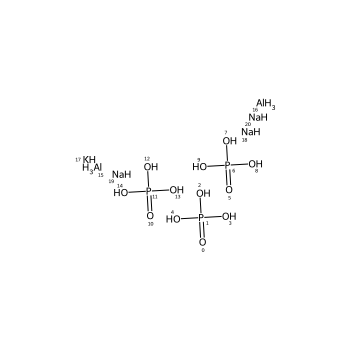 O=P(O)(O)O.O=P(O)(O)O.O=P(O)(O)O.[AlH3].[AlH3].[KH].[NaH].[NaH].[NaH]